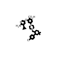 CC1(C)CCC(CN2CCN(c3ccc(C(=O)O)c(Oc4cnc(N)c(C5CC5)c4)c3)CC2)=C(c2ccc(Cl)cc2)C1